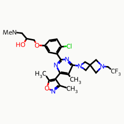 CNCC(O)COc1ccc(Cl)c(-c2nc(-c3c(C)noc3C)c(C)c(N3CC4(CN(CC(F)(F)F)C4)C3)n2)c1